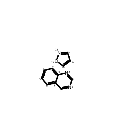 c1ccc2ncncc2c1.c1cnoc1